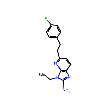 CC(C)(C)Cn1c(N)nc2ccc(CCc3ccc(F)cc3)nc21